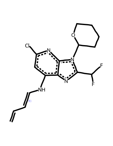 C=C/C=C/Nc1cc(Cl)nc2c1nc(C(F)F)n2C1CCCCO1